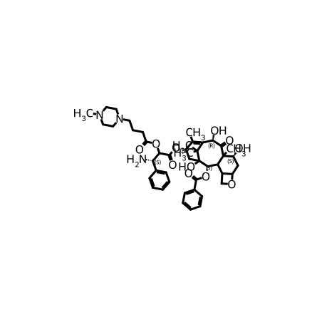 CC1=C2[C@@H](O)C(=O)C3(C)C(C4COC4C[C@@H]3O)[C@H](OC(=O)c3ccccc3)C(O)(C[C@@H]1OC(=O)C(OC(=O)CCCN1CCN(C)CC1)[C@@H](N)c1ccccc1)C2(C)C